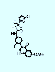 COc1ccc2[nH]cc(-c3ccc(NC(=O)NS(=O)(=O)c4ccc(Cl)s4)cc3I)c(=O)c2c1